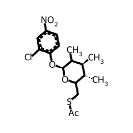 CC(=O)SCC1O[C@@H](Oc2ccc([N+](=O)[O-])cc2Cl)C(C)[C@@H](C)[C@@H]1C